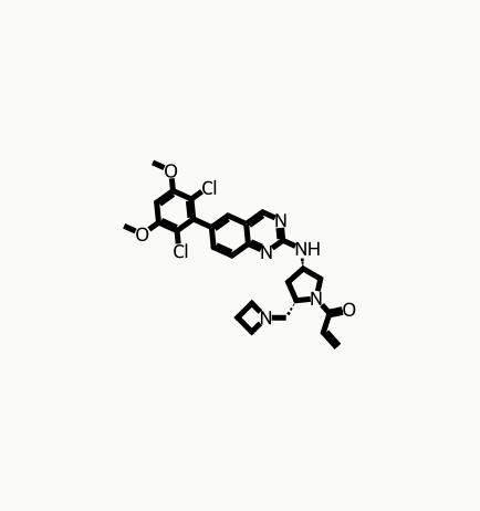 C=CC(=O)N1C[C@@H](Nc2ncc3cc(-c4c(Cl)c(OC)cc(OC)c4Cl)ccc3n2)C[C@H]1CN1CCC1